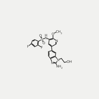 COc1ncc(-c2ccc3nc(N)n(CCO)c3c2)cc1NS(=O)(=O)c1ccc(F)cc1F